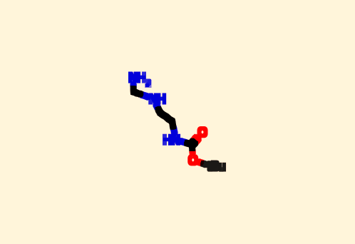 CC(C)(C)OC(=O)NCCNCN